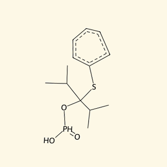 CC(C)C(O[PH](=O)O)(Sc1ccccc1)C(C)C